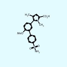 COc1ccc(-c2c(C)cc(C(=O)O)n2C)cc1-c1ccc(S(N)(=O)=O)cc1